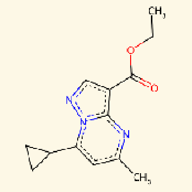 CCOC(=O)c1cnn2c(C3CC3)cc(C)nc12